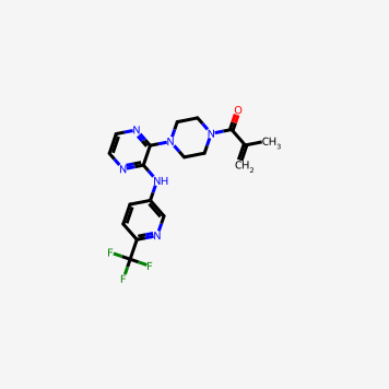 C=C(C)C(=O)N1CCN(c2nccnc2Nc2ccc(C(F)(F)F)nc2)CC1